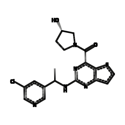 CC(Nc1nc(C(=O)N2CC[C@H](O)C2)c2sccc2n1)c1cncc(Cl)c1